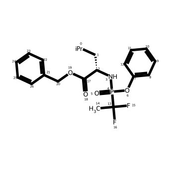 CC(C)C[C@H](NP(=O)(Oc1ccccc1)C(C)(F)F)C(=O)OCc1ccccc1